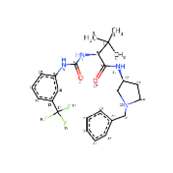 CC(C)(C)[C@H](NC(=O)Nc1cccc(C(F)(F)F)c1)C(=O)N[C@H]1CCN(Cc2ccccc2)C1